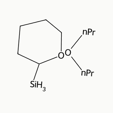 CCCOCCC.[SiH3]C1CCCCO1